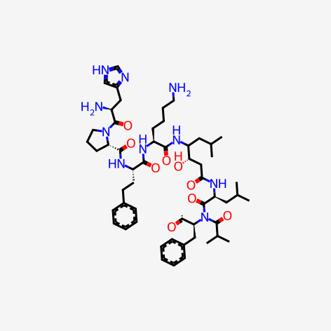 CC(C)CC(NC(=O)[C@H](CCCCN)NC(=O)[C@H](CCc1ccccc1)NC(=O)[C@@H]1CCCN1C(=O)[C@@H](N)Cc1c[nH]cn1)[C@@H](O)CC(=O)N[C@@H](CC(C)C)C(=O)N(C(=O)C(C)C)[C@H]([C]=O)Cc1ccccc1